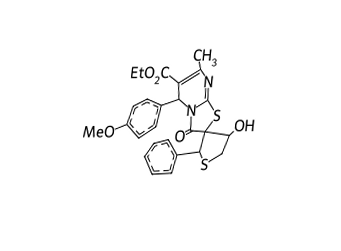 CCOC(=O)C1=C(C)N=C2SC3(C(=O)N2C1c1ccc(OC)cc1)C(O)CSC3c1ccccc1